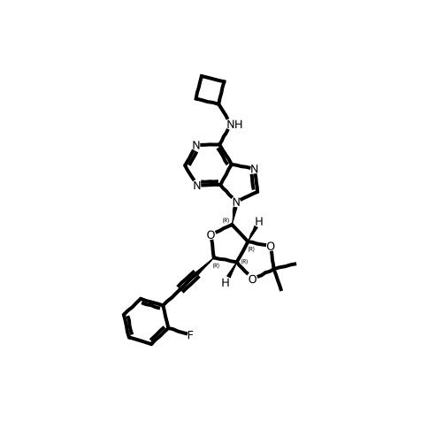 CC1(C)O[C@@H]2[C@H](O1)[C@@H](C#Cc1ccccc1F)O[C@H]2n1cnc2c(NC3CCC3)ncnc21